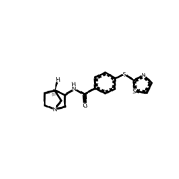 O=C(NC1CN2CC[C@H]1C2)c1ccc(Sc2nccs2)cc1